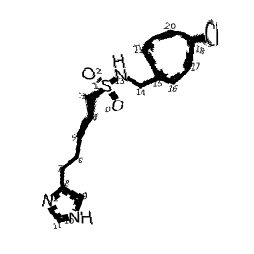 O=S(=O)(CC=CCCc1c[nH]cn1)NCc1ccc(Cl)cc1